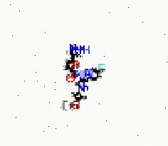 CCO[C@H]1C[C@@H](n2cc(NC(=O)c3ccc(-c4cn[nH]c4)o3)c(-c3ccc(F)cn3)n2)C1